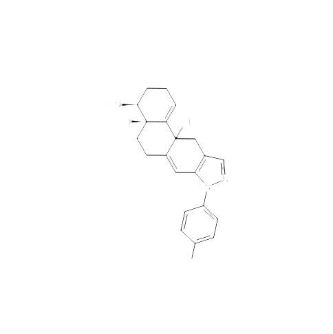 CC12Cc3cnn(-c4ccc(F)cc4)c3C=C1CC[C@H]1C2=CC[C@@H](C(F)(F)F)[C@@H]1N